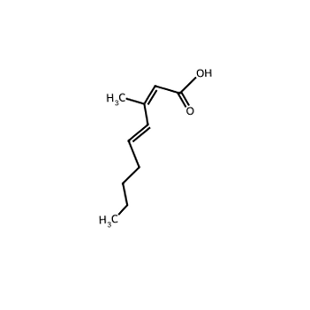 CCCC/C=C/C(C)=C\C(=O)O